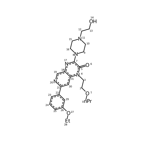 CCCOCCn1c(=O)c(N2CCN(CCO)CC2)nc2cnc(-c3cccc(OCC)c3)cc21